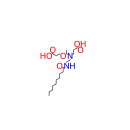 CCCCCCCCCC(=O)NCCN(CCC(=O)O)C(C)OCCC(=O)O